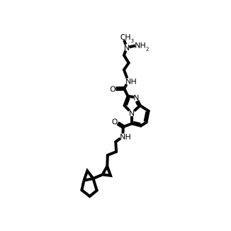 CN(N)CCCNC(=O)c1cn2c(C(=O)NCCCC3CC3C34CCCC3C4)cccc2n1